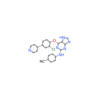 N#Cc1ccc(Nc2nc(Oc3ccc(-c4ccncc4)cc3Cl)c3[nH]cnc3n2)cc1